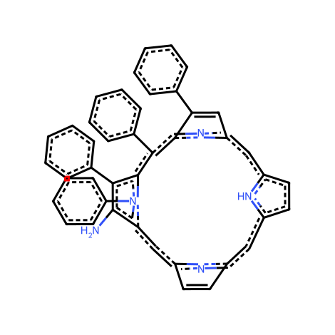 Nc1c(-c2ccccc2)c2c(-c3ccccc3)c3nc(cc4ccc(cc5nc(cc1n2-c1ccccc1)C=C5)[nH]4)C=C3c1ccccc1